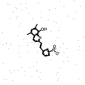 Cc1cc(C)c2ccc(/C=C/c3cccc([N+](=O)[O-])c3)nc2c1O